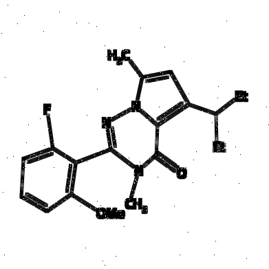 CCC(CC)c1cc(C)n2nc(-c3c(F)cccc3OC)n(C)c(=O)c12